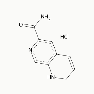 Cl.NC(=O)c1cc2c(cn1)NCC=C2